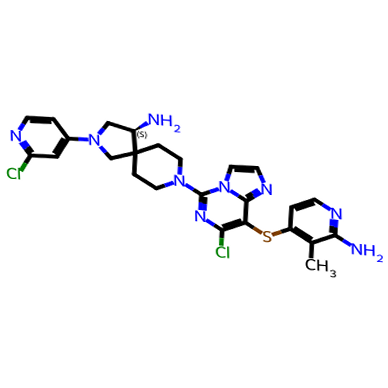 Cc1c(Sc2c(Cl)nc(N3CCC4(CC3)CN(c3ccnc(Cl)c3)C[C@H]4N)n3ccnc23)ccnc1N